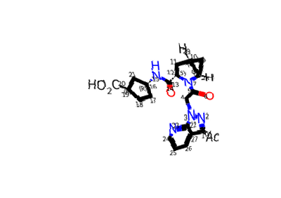 CC(=O)c1nn(CC(=O)N2[C@@H]3C[C@@H]3C[C@H]2C(=O)N[C@@H]2CC[C@@H](C(=O)O)C2)c2ncccc12